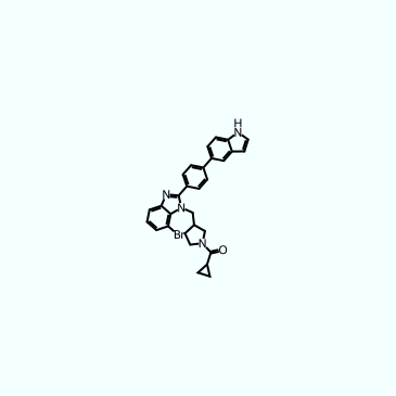 O=C(C1CC1)N1CCC(Cn2c(-c3ccc(-c4ccc5[nH]ccc5c4)cc3)nc3cccc(Br)c32)C1